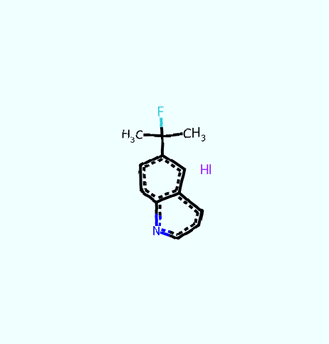 CC(C)(F)c1ccc2ncccc2c1.I